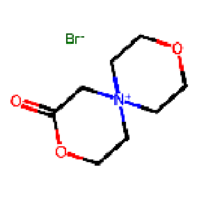 O=C1C[N+]2(CCOCC2)CCO1.[Br-]